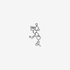 CCOC1CCN(Cc2c(OC)cc(C)c3c2OCC(=O)N3)CC1